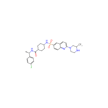 C[C@@H](NC(=O)C1CCC(NS(=O)(=O)c2ccc3nc(N4CCNC(C(F)(F)F)C4)ccc3c2)CC1)c1ccc(F)cc1